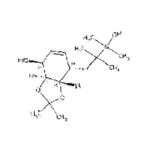 CC1(C)O[C@@H]2[C@@H](O1)[C@@H](O)C=C[C@@H]2CC(C)(C)[Si](C)(C)O